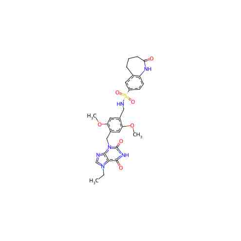 CCn1cnc2c1c(=O)[nH]c(=O)n2Cc1cc(OC)c(CNS(=O)(=O)c2ccc3c(c2)CCCC(=O)N3)cc1OC